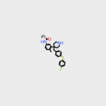 Cc1ccc(NC(=O)C(C)C)cc1C1(Cc2ccc(Sc3ccc(F)cc3)cc2)CCNCC1